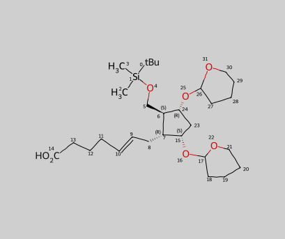 CC(C)(C)[Si](C)(C)OC[C@@H]1[C@@H](CC=CCCCC(=O)O)[C@@H](OC2CCCCO2)C[C@H]1OC1CCCCO1